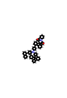 c1ccc(C2(c3ccccc3)c3ccccc3-c3ccc(N(c4ccc(-c5cccc6c5-c5ccccc5C65c6ccccc6-n6c7ccccc7c7cccc5c76)cc4)c4ccc(-c5cccc6ccccc56)cc4)cc32)cc1